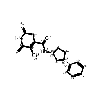 C=C1NC(=O)NC(C(=O)N[C@H]2CC[C@H](c3ccccc3)C2)=C1O